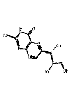 CC(=O)c1nc2ncc([C@H](O)[C@H](O)CO)nc2c(=O)[nH]1